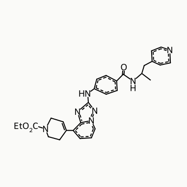 CCOC(=O)N1CC=C(c2cccn3nc(Nc4ccc(C(=O)NC(C)Cc5ccncc5)cc4)nc23)CC1